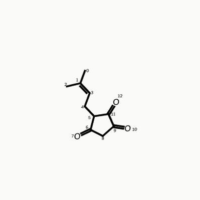 CC(C)=CCC1C(=O)CC(=O)C1=O